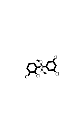 CO[Si](OC)(C1CC(Cl)CC(Cl)C1)C1CCCC(Cl)C1Cl